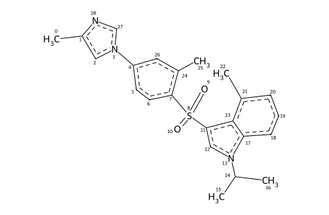 Cc1cn(-c2ccc(S(=O)(=O)c3cn(C(C)C)c4cccc(C)c34)c(C)c2)cn1